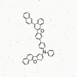 C1=C2c3ccc4ccccc4c3OC2CC=C1N(c1ccccc1)c1ccc(-c2ccc3c(c2)oc2c4ccccc4c(-c4ccc5ccccc5c4)cc32)cc1